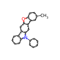 Cc1ccc2oc3cc4c5ccccc5n(-c5ccccc5)c4cc3c2c1